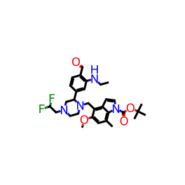 CCNc1cc(C2CN(CC(F)F)CCN2Cc2c(OC)cc(C)c3c2ccn3C(=O)OC(C)(C)C)ccc1C=O